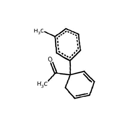 CC(=O)C1(c2cccc(C)c2)C=CC=CC1